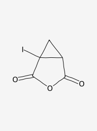 O=C1OC(=O)C2(I)CC12